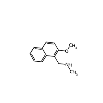 CNCc1c(OC)ccc2ccccc12